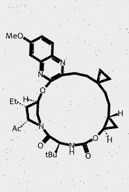 CC[C@@H]1[C@@H]2CN(C(=O)[C@H](C(C)(C)C)NC(=O)O[C@@H]3C[C@H]3CCC3(CCc4nc5ccc(OC)cc5nc4O2)CC3)[C@@H]1C(C)=O